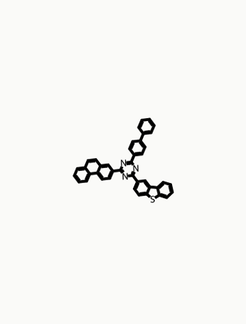 c1ccc(-c2ccc(-c3nc(-c4ccc5c(ccc6ccccc65)c4)nc(-c4ccc5sc6ccccc6c5c4)n3)cc2)cc1